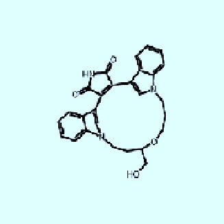 O=C1NC(=O)C2=C1c1cn(c3ccccc13)CCCOC(CO)CCn1cc2c2ccccc21